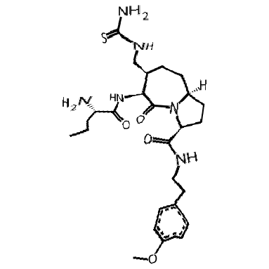 CC[C@H](N)C(=O)N[C@@H]1C(=O)N2[C@@H](CC[C@@H]1CNC(N)=S)CC[C@H]2C(=O)NCCc1ccc(OC)cc1